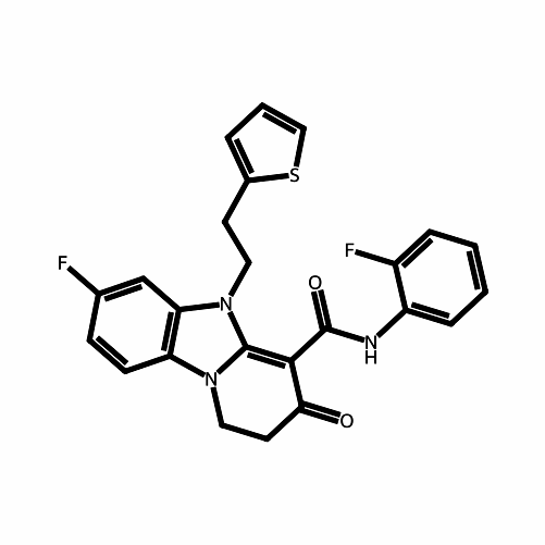 O=C1CCN2C(=C1C(=O)Nc1ccccc1F)N(CCc1cccs1)c1cc(F)ccc12